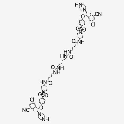 N#Cc1cc(Cl)cc2c1C[C@H](N1CCNCC1)[C@H]2Oc1ccc(S(=O)(=O)N2CCC(NC(=O)CCCNC(=O)NCCCCNC(=O)NCCCC(=O)NC3CCN(S(=O)(=O)c4ccc(O[C@H]5c6cc(Cl)cc(C#N)c6C[C@@H]5N5CCNCC5)cc4)CC3)CC2)cc1